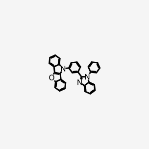 c1ccc(-n2c(-c3cccc(-n4c5ccccc5c5oc6ccccc6c54)c3)nc3ccccc32)cc1